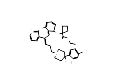 CCOC(=O)C1(OC2C=CC=C3Oc4ncccc4C(=CCCN4CCC(O)(c5ccc(Cl)cc5)CC4)C=C32)CCC1